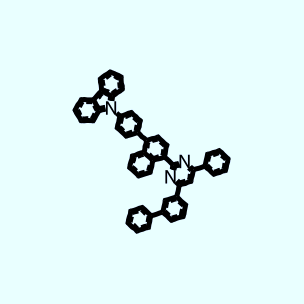 c1ccc(-c2cccc(-c3cc(-c4ccccc4)nc(-c4ccc(-c5ccc(-n6c7ccccc7c7ccccc76)cc5)c5ccccc45)n3)c2)cc1